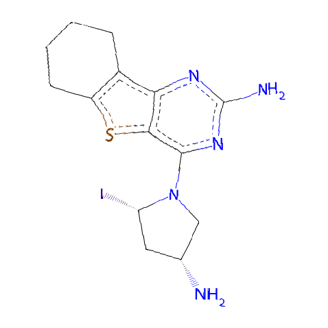 Nc1nc(N2C[C@H](N)C[C@@H]2I)c2sc3c(c2n1)CCCC3